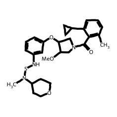 COC1CN(C(=O)c2c(C)cccc2C2CC2)CC1Oc1cccc(NSN(C)C2CCOCC2)c1